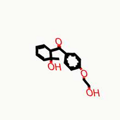 CC1(O)C=CC=CC1C(=O)c1ccc(OCCO)cc1